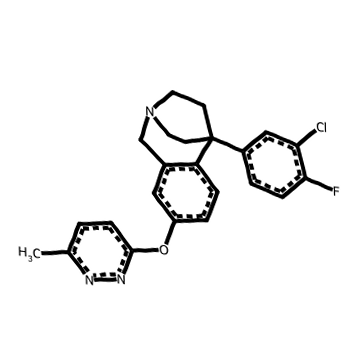 Cc1ccc(Oc2ccc3c(c2)CN2CCC3(c3ccc(F)c(Cl)c3)CC2)nn1